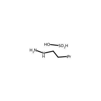 CC(C)CCNN.O=S(=O)(O)O